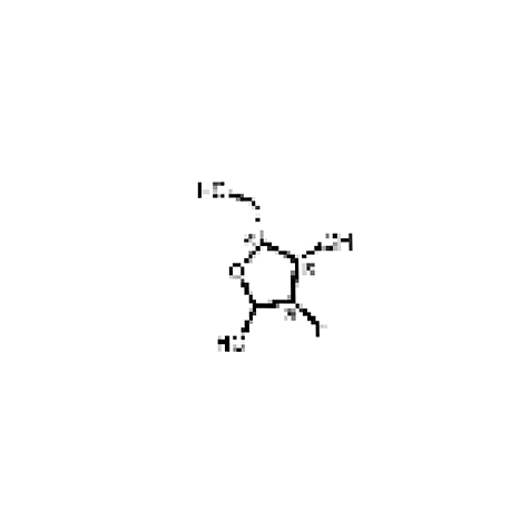 OC[C@H]1OC(O)[C@H](F)[C@@H]1O